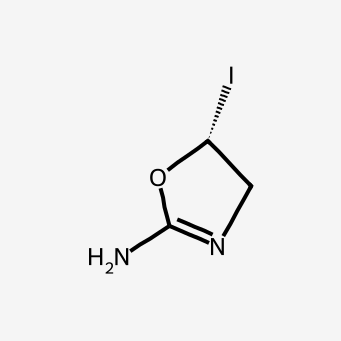 NC1=NC[C@@H](I)O1